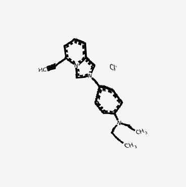 C#Cc1cccc2cn(-c3ccc(N(CC)CC)cc3)c[n+]12.[Cl-]